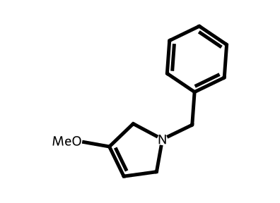 COC1=CCN(Cc2ccccc2)C1